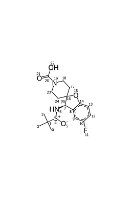 CC(C)(C)[S+]([O-])N[C@@H]1c2cc(F)ccc2OC12CCN(C(=O)O)CC2